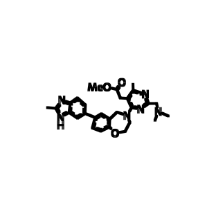 COC(=O)Cc1c(C)nc(CN(C)C)nc1N1CCOc2ccc(-c3ccc4nc(C)[nH]c4c3)cc2C1